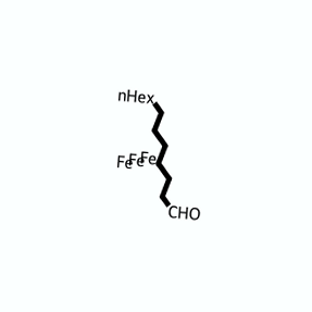 CCCCCCCCCCCCC=O.[Fe].[Fe].[Fe]